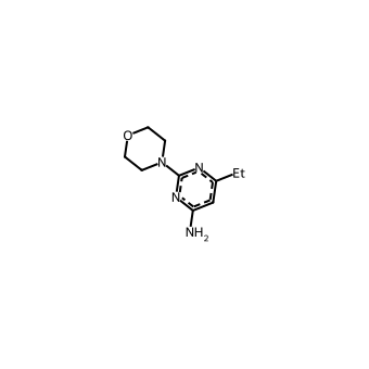 CCc1cc(N)nc(N2CCOCC2)n1